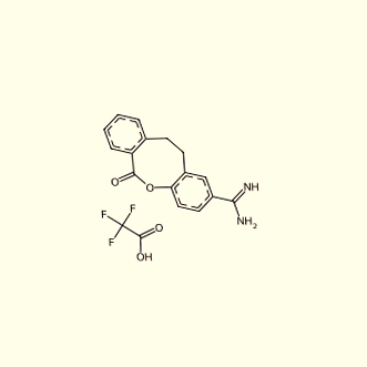 N=C(N)c1ccc2c(c1)CCc1ccccc1C(=O)O2.O=C(O)C(F)(F)F